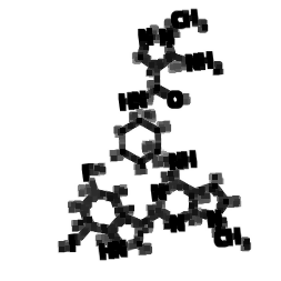 Cn1ncc(C(=O)N[C@H]2CCC[C@@H](Nc3nc(-c4c[nH]c5c(F)cc(F)cc45)nc4c3ccn4C)C2)c1N